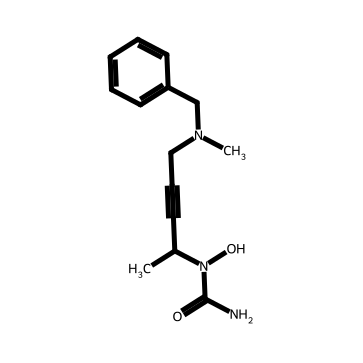 CC(C#CCN(C)Cc1ccccc1)N(O)C(N)=O